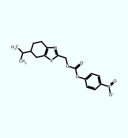 CC(C)C1CCc2nc(COC(=O)Oc3ccc([N+](=O)[O-])cc3)sc2C1